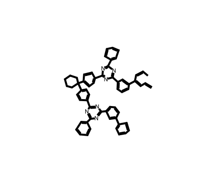 C=C/C=C(\C=C/C)c1cccc(-c2nc(-c3ccccc3)nc(-c3ccc(C4(c5ccc(-c6nc(-c7ccccc7)nc(-c7cccc(-c8ccccc8)c7)n6)cc5)CCCCC4)cc3)n2)c1